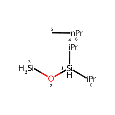 CC(C)[SiH](O[SiH3])C(C)C.CCCC